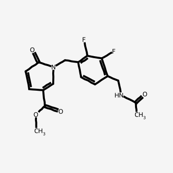 COC(=O)c1ccc(=O)n(Cc2ccc(CNC(C)=O)c(F)c2F)c1